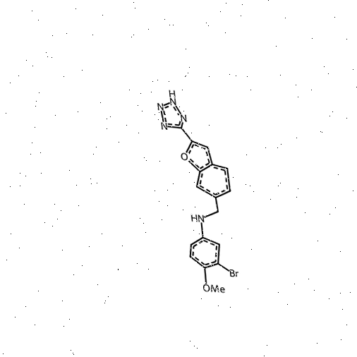 COc1ccc(NCc2ccc3cc(-c4nn[nH]n4)oc3c2)cc1Br